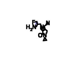 N#Cc1c2c(cn1C/C(=C/F)CN)C(=O)N(C1CC1)CC2